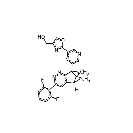 CC1(C)[C@H]2CC[C@]1(c1cncc(-c3nc(CO)co3)n1)c1nnc(-c3c(F)cccc3F)cc12